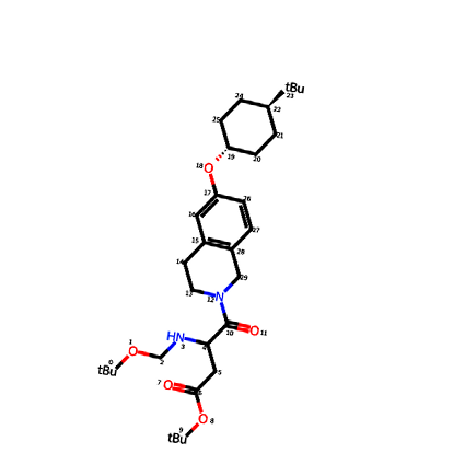 CC(C)(C)OCNC(CC(=O)OC(C)(C)C)C(=O)N1CCc2cc(O[C@H]3CC[C@H](C(C)(C)C)CC3)ccc2C1